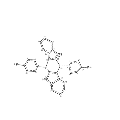 Fc1ccc(C2c3[nH]c4ccccc4c3C(c3ccc(F)cc3)c3[nH]c4ccccc4c32)cc1